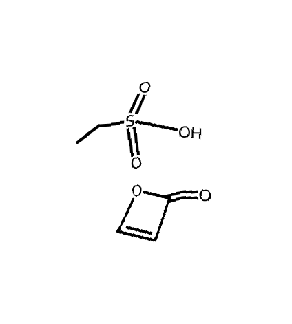 CCS(=O)(=O)O.O=C1C=CO1